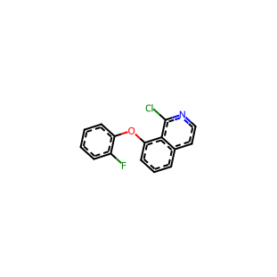 Fc1ccccc1Oc1cccc2ccnc(Cl)c12